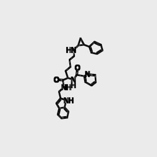 O=C(NC(CCCCNC1CC1c1ccccc1)C(=O)NCc1cc2ccccc2[nH]1)c1ccccn1